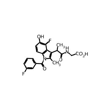 Cc1c(C(C)C(=O)NCC(=O)O)c2c(F)c(O)ccc2n1C(=O)c1cccc(F)c1